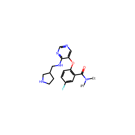 CCN(C(=O)c1cc(F)ccc1Oc1cncnc1NCC1CCNC1)C(C)C